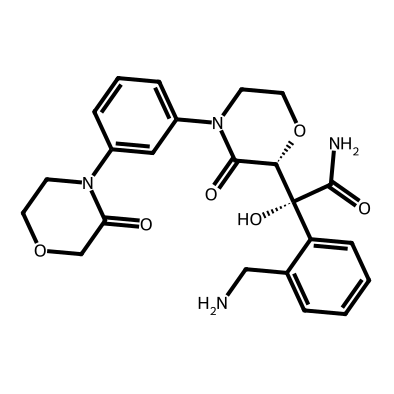 NCc1ccccc1[C@](O)(C(N)=O)[C@H]1OCCN(c2cccc(N3CCOCC3=O)c2)C1=O